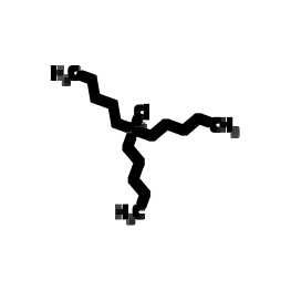 CCCCC[N+](Cl)(CCCCC)CCCCC